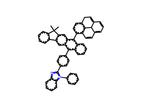 CC1(C)c2ccccc2-c2cc3c(-c4ccc(-c5nc6ccccc6n5-c5ccccc5)cc4)c4ccccc4c(-c4ccc5c6c4C=CC4=CC=CC(=CC5)C46)c3cc21